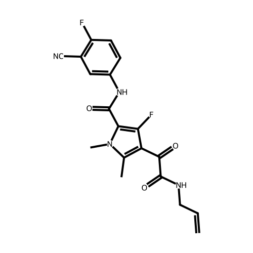 C=CCNC(=O)C(=O)c1c(F)c(C(=O)Nc2ccc(F)c(C#N)c2)n(C)c1C